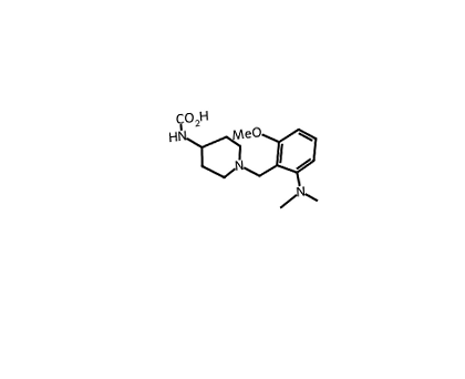 COc1cccc(N(C)C)c1CN1CCC(NC(=O)O)CC1